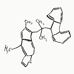 CC1=C(C(C)(C)C2c3ccccc3-c3ccccc32)C2=CC3SC=CC3=C(C)C2=C1